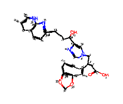 O=C(O)CC(Cn1cnc(C(O)CCc2ccc3c(n2)NCCC3)c1)c1ccc2c(c1)OCO2